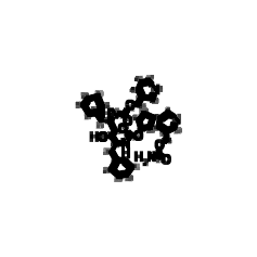 NC(=O)OCc1cccnc1.O=C(N[C@@H](Cc1ccccc1)C[C@H](O)[C@H](Cc1ccccc1)NC(=O)OC1CCCC1)OCc1cccnc1